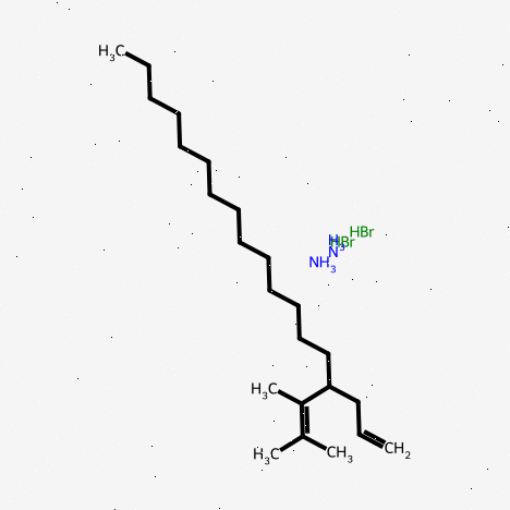 Br.Br.C=CCC(CCCCCCCCCCCCCC)C(C)=C(C)C.N.N